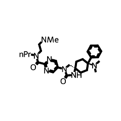 CCCN(CCNC)C(=O)c1ncc(N2C[C@]3(CC[C@](c4ccccc4)(N(C)C)CC3)NC2=O)cn1